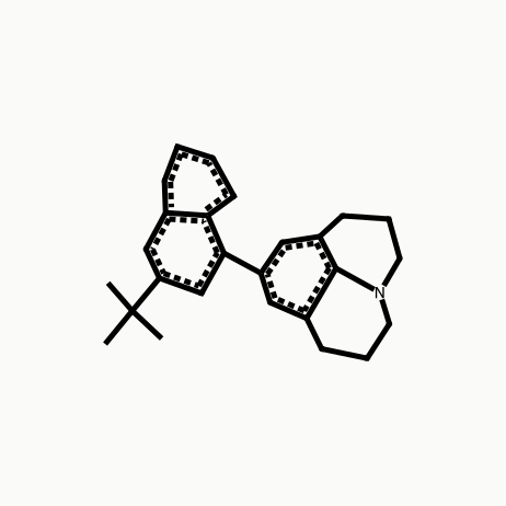 CC(C)(C)c1cc(-c2cc3c4c(c2)CCCN4CCC3)c2ccccc2c1